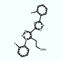 COCCc1c(-c2nc(-c3ccccc3F)no2)nnn1-c1ccccc1F